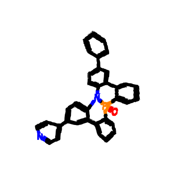 O=P12c3ccccc3-c3cc(-c4ccccc4)ccc3N1c1ccc(-c3ccncc3)cc1-c1ccccc12